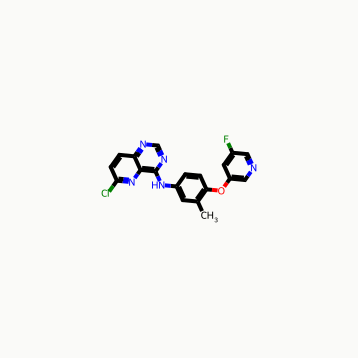 Cc1cc(Nc2ncnc3ccc(Cl)nc23)ccc1Oc1cncc(F)c1